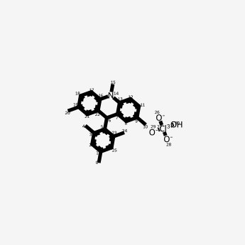 Cc1cc(C)c(C2c3cc(C)ccc3N(C)c3ccc(C)cc32)c(C)c1.[O-][Cl+3]([O-])([O-])O